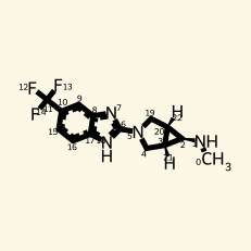 CN[C@H]1[C@@H]2CN(c3nc4cc(C(F)(F)F)ccc4[nH]3)C[C@@H]21